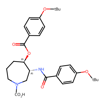 CC(C)(C)Oc1ccc(C(=O)N[C@@H]2CN(C(=O)O)CCC[C@H]2OC(=O)c2ccc(OC(C)(C)C)cc2)cc1